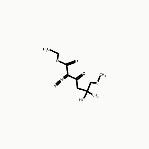 CCOC(=O)C(=[N+]=[N-])C(=O)CC(C)(O)COC